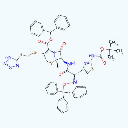 CC(C)(C)OC(=O)Nc1nc(/C(=N/OC(c2ccccc2)(c2ccccc2)c2ccccc2)C(=O)N[C@@H]2C(=O)N3C(C(=O)OC(c4ccccc4)c4ccccc4)=C(SCSc4nnn[nH]4)CS[C@@H]23)cs1